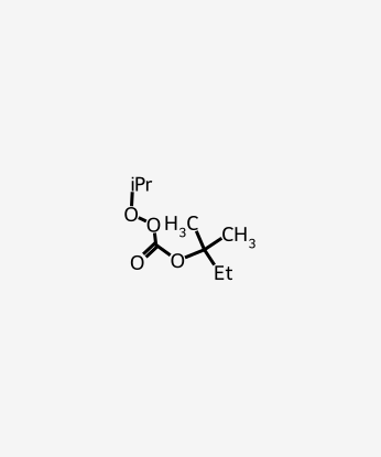 CCC(C)(C)OC(=O)OOC(C)C